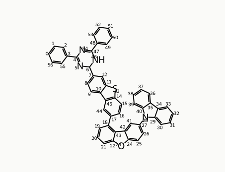 c1ccc(C2=NC(c3ccc4c(c3)sc3ccc(-c5cccc6oc7ccc(-n8c9ccccc9c9ccccc98)cc7c56)cc34)NC(c3ccccc3)=N2)cc1